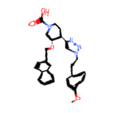 COc1ccc(CCn2cc([C@@H]3CCN(C(=O)O)C[C@H]3OCc3ccc4ccccc4c3)nn2)cc1